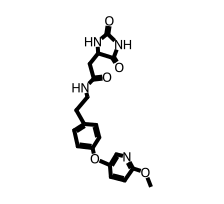 COc1ccc(Oc2ccc(CCNC(=O)CC3NC(=O)NC3=O)cc2)cn1